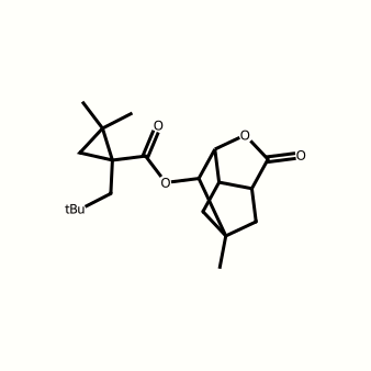 CC(C)(C)CC1(C(=O)OC2C3OC(=O)C4CC2(C)CC43)CC1(C)C